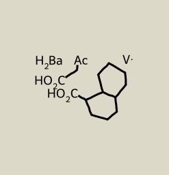 CC(=O)CC(=O)O.O=C(O)C1CCCC2CCCCC21.[BaH2].[V]